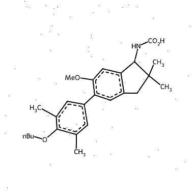 CCCCOc1c(C)cc(-c2cc3c(cc2OC)C(NC(=O)O)C(C)(C)C3)cc1C